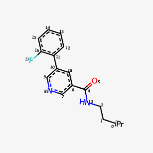 CC(C)CCNC(=O)c1cncc(-c2ccccc2F)c1